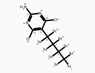 [2H]C([2H])([2H])C([2H])([2H])C([2H])([2H])C([2H])([2H])c1c(Cl)nc(N)nc1Cl